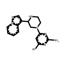 CC(C)c1cc(N2CCNC(c3cnn4ccccc34)C2)nc(N)n1